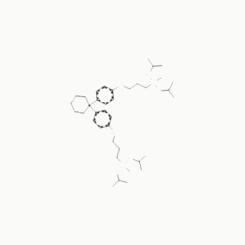 CC(C)O[Si](C)(CCCOc1ccc(C2(c3ccc(OCCC[Si](C)(OC(C)C)OC(C)C)cc3)CCCCC2)cc1)OC(C)C